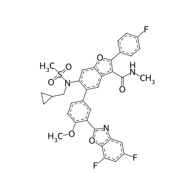 CNC(=O)c1c(-c2ccc(F)cc2)oc2cc(N(CC3CC3)S(C)(=O)=O)c(-c3ccc(OC)c(-c4nc5cc(F)cc(F)c5o4)c3)cc12